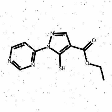 CCOC(=O)c1cnn(-c2ccncn2)c1S